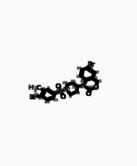 Cc1cc(S(=O)(=O)N2CCC(N3C(=O)OCc4cc(Br)ccc43)CC2)ccc1Br